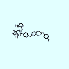 O=C(c1ccc(CN2CCC3(CCN(Cc4ccc(F)cc4)CC3)C2)cc1)N(Cc1ncc[nH]1)Cc1ncc[nH]1